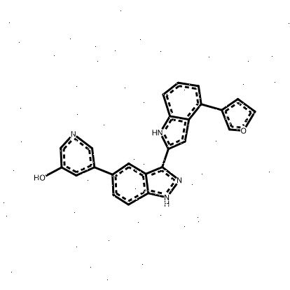 Oc1cncc(-c2ccc3[nH]nc(-c4cc5c(-c6ccoc6)cccc5[nH]4)c3c2)c1